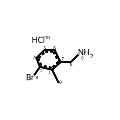 Cc1c(Br)cccc1CN.Cl